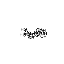 OC[C@@H]1O[C@@H](Oc2cc([C@H]3Oc4cc(O)cc(O)c4C[C@@H]3O)ccc2O)[C@@H](O)[C@H](O)[C@H]1O